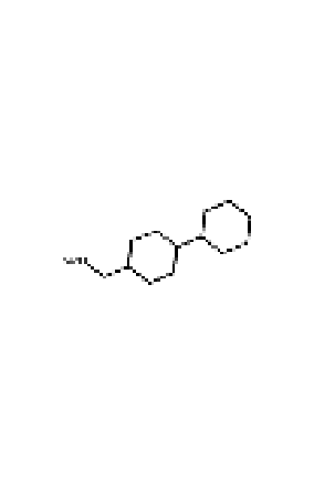 COCC1CCC(C2CCCCC2)CC1